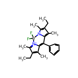 CCC1=C(C)C2=C(c3ccccc3)c3c(C)c(CC)c(C)n3[B-](F)(F)[N+]2=C1C